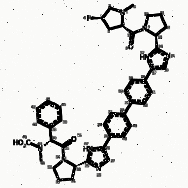 CN1C[C@H](F)C[C@@H]1C(=O)N1CCC[C@H]1c1ncc(-c2ccc(-c3ccc(-c4cnc([C@@H]5CCCN5C(=O)[C@@H](c5ccccc5)N(C)C(=O)O)[nH]4)cc3)cc2)[nH]1